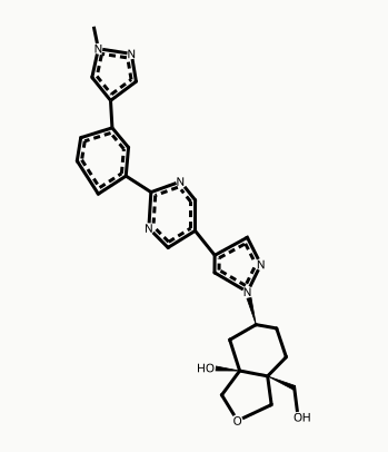 Cn1cc(-c2cccc(-c3ncc(-c4cnn([C@H]5CC[C@]6(CO)COC[C@]6(O)C5)c4)cn3)c2)cn1